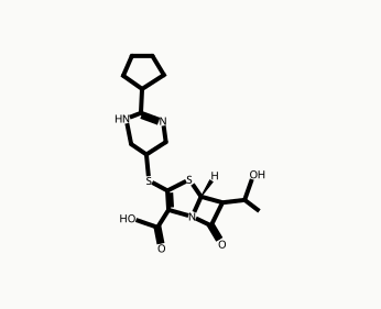 CC(O)C1C(=O)N2C(C(=O)O)=C(SC3CN=C(C4CCCC4)NC3)S[C@H]12